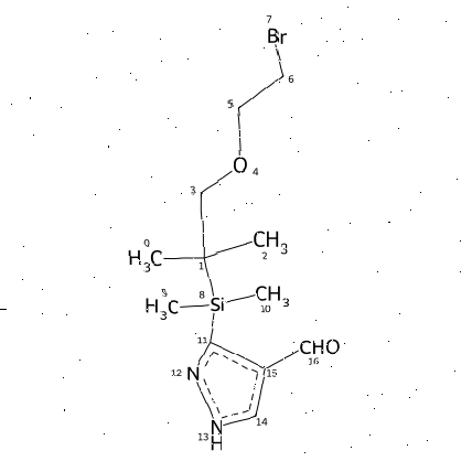 CC(C)(COCCBr)[Si](C)(C)c1n[nH]cc1C=O